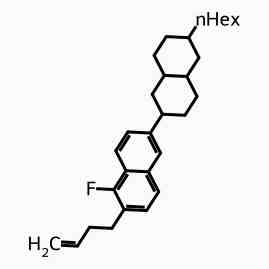 C=CCCc1ccc2cc(C3CCC4CC(CCCCCC)CCC4C3)ccc2c1F